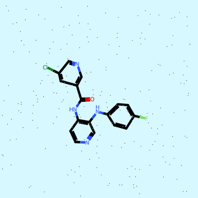 O=C(Nc1ccncc1Nc1ccc(F)cc1)c1cncc(Cl)c1